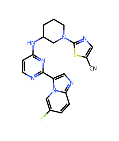 N#Cc1cnc(N2CCCC(Nc3ccnc(-c4cnc5ccc(F)cn45)n3)C2)s1